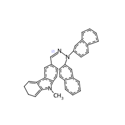 Cn1c2c(c3cc(/C=N\N(c4ccc5ccccc5c4)c4ccc5ccccc5c4)ccc31)=CCCC=2